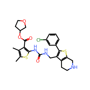 Cc1sc(NC(=O)NCc2c(-c3cccc(Cl)c3)sc3c2CCNC3)c(C(=O)OC2CCOC2)c1C